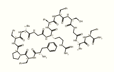 CC[C@H](C)[C@H](NC(=O)CNC(=O)[C@H](CO)NC(=O)[C@H](CC(C)C)NC(=O)[C@@H](NC(=O)[C@H](CCCNC(=N)N)NC(=O)CNC(=O)[C@@H](NC(=O)[C@H](CC(C)C)NC(=O)[C@@H]1CCCN1C(=O)[C@H](CC(C)C)NC(=O)[C@@H](N)Cc1ccccc1)[C@@H](C)CC)C(C)C)C(=O)N[C@@H](CC(C)C)C(N)=O